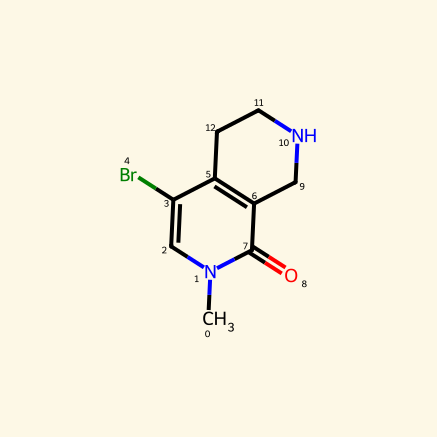 Cn1cc(Br)c2c(c1=O)CNCC2